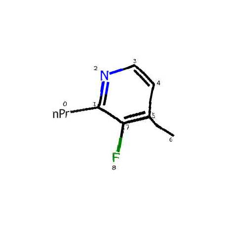 CCCc1nccc(C)c1F